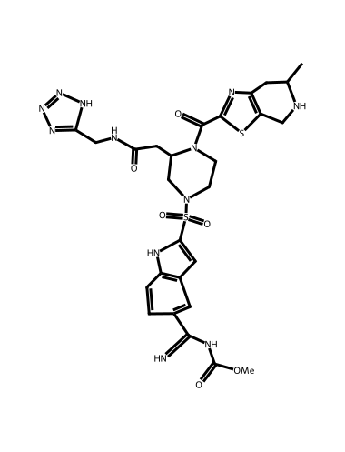 COC(=O)NC(=N)c1ccc2[nH]c(S(=O)(=O)N3CCN(C(=O)c4nc5c(s4)CNC(C)C5)C(CC(=O)NCc4nnn[nH]4)C3)cc2c1